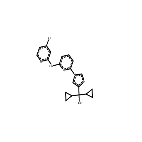 OC(c1cn(-c2cccc(Nc3cc(Cl)ccn3)n2)cn1)(C1CC1)C1CC1